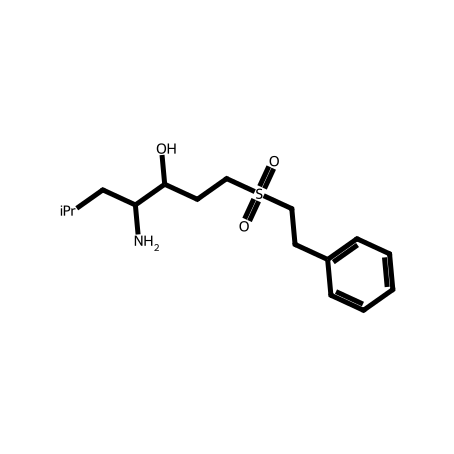 CC(C)CC(N)C(O)CCS(=O)(=O)CCc1ccccc1